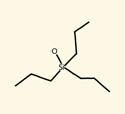 CCC[Si]([O])(CCC)CCC